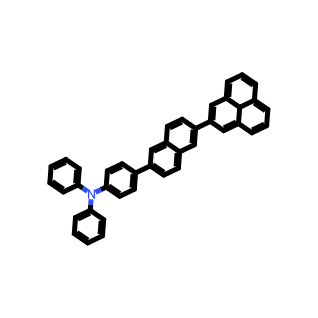 C1=CC2=CC=CC3=CC(c4ccc5cc(-c6ccc(N(c7ccccc7)c7ccccc7)cc6)ccc5c4)=CC(=C1)C23